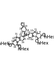 CCCCCCOc1cc(OCCCCCC)c2c(c1)C(C)(C)c1cc(N(c3ccc(Cl)cc3)c3ccc4c(c3)C(C)(C)c3cc(OCCCCCC)cc(OCCCCCC)c3-4)ccc1-2